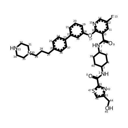 O=C(NC1CCC(NC(=O)c2cc(F)cnc2Oc2cccc(-c3ccc(CCCN4CCNCC4)cc3)c2)CC1)c1nc(CO)cs1